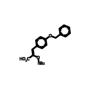 CCCCO/C(=C\c1ccc(OCc2ccccc2)cc1)C(=O)O